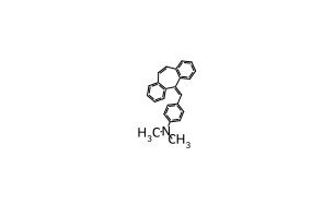 CN(C)c1ccc(C=C2c3ccccc3C=Cc3ccccc32)cc1